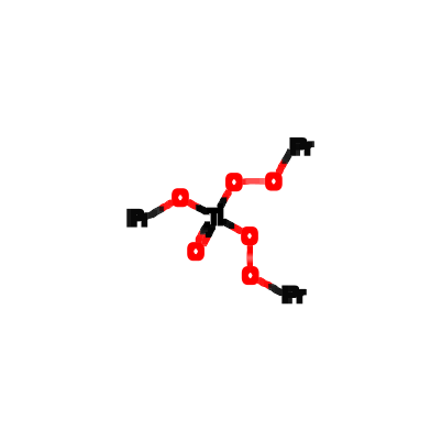 CC(C)O[O][Ti](=[O])([O]OC(C)C)[O]C(C)C